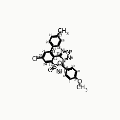 COc1ccc(Cn2nnnc2-c2c(-c3ccc(C)cc3)cc(Cl)cc2S(N)(=O)=O)cc1